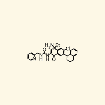 CC[N+]1(N)C=C(NC(=O)NCc2ccccn2)C(=O)c2cc(C3CCCc4ccccc43)c(Cl)cc21